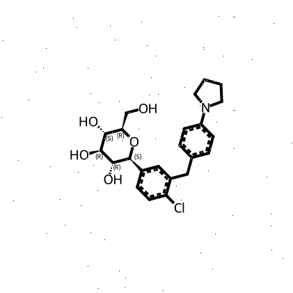 OC[C@H]1O[C@@H](c2ccc(Cl)c(Cc3ccc(N4CCCC4)cc3)c2)[C@H](O)[C@@H](O)[C@@H]1O